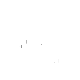 Cl.NCc1ccc(Nc2ccc(F)cc2)nc1